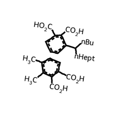 CCCCCCCC(CCCC)c1cccc(C(=O)O)c1C(=O)O.Cc1ccc(C(=O)O)c(C(=O)O)c1C